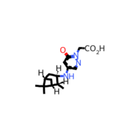 C[C@@H]1[C@H]2C[C@@H](C[C@H]1Nc1cnn(CC(=O)O)c(=O)c1)C2(C)C